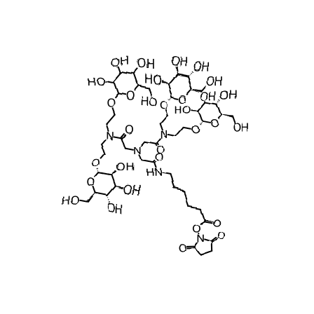 O=C(CN(CC(=O)N(CCOC1OC(CO)C(O)C(O)C1O)CCO[C@H]1O[C@H](CO)[C@@H](O)[C@H](O)[C@@H]1O)CC(=O)N(CCO[C@H]1O[C@H](CO)[C@@H](O)[C@H](O)[C@@H]1O)CCO[C@H]1O[C@H](CO)[C@@H](O)[C@H](O)[C@@H]1O)NCCCCCC(=O)ON1C(=O)CCC1=O